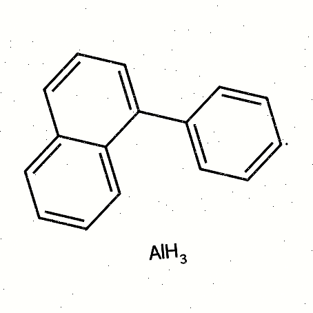 [AlH3].[c]1ccc(-c2cccc3ccccc23)cc1